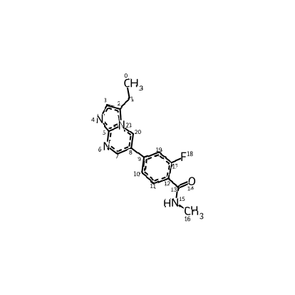 CCc1cnc2ncc(-c3ccc(C(=O)NC)c(F)c3)cn12